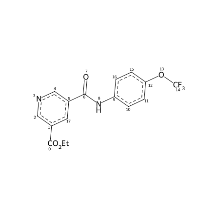 CCOC(=O)c1cncc(C(=O)Nc2ccc(OC(F)(F)F)cc2)c1